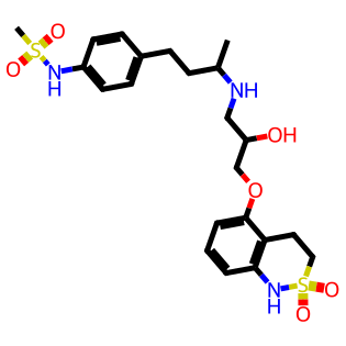 CC(CCc1ccc(NS(C)(=O)=O)cc1)NCC(O)COc1cccc2c1CCS(=O)(=O)N2